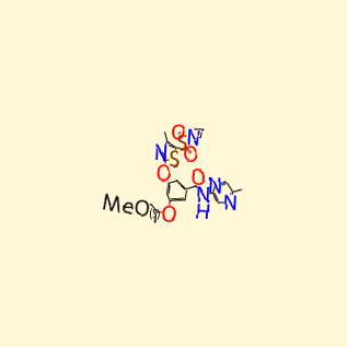 COC[C@H](C)Oc1cc(Oc2nc(C)c(S(=O)(=O)N3CCC3)s2)cc(C(=O)Nc2cnc(C)cn2)c1